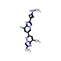 CNC12CC(c3cn4cc(-c5cc(C)c6nc(C)cn6n5)cc(F)c4n3)(C1)C2